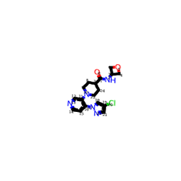 O=C(NC1COC1)C1CCN(c2cnccc2-n2cc(Cl)cn2)CC1